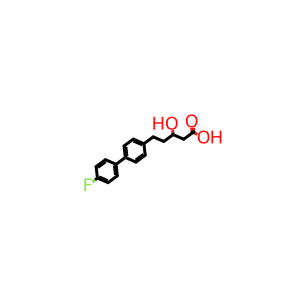 O=C(O)CC(O)CCc1ccc(-c2ccc(F)cc2)cc1